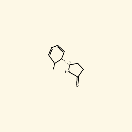 CC1C=CC=CC1[C@@H]1CCC(=O)N1